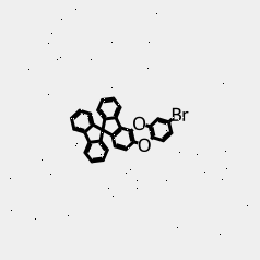 Brc1ccc2c(c1)Oc1c(ccc3c1-c1ccccc1C31c3ccccc3-c3ccccc31)O2